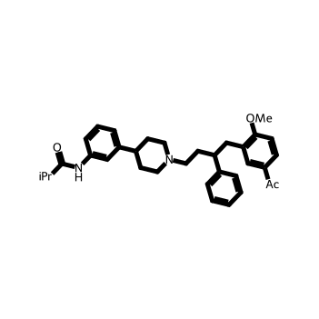 COc1ccc(C(C)=O)cc1CC(CCN1CCC(c2cccc(NC(=O)C(C)C)c2)CC1)c1ccccc1